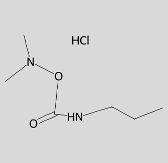 CCCNC(=O)ON(C)C.Cl